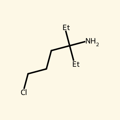 CCC(N)(CC)CCCCl